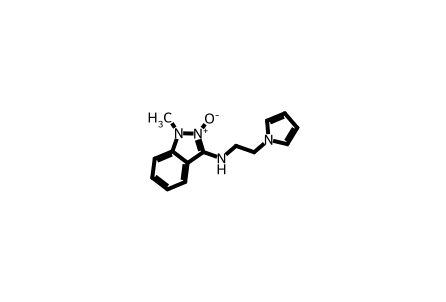 Cn1c2ccccc2c(NCCn2cccc2)[n+]1[O-]